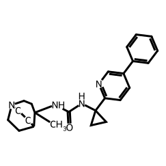 CC1(NC(=O)NC2(c3ccc(-c4ccccc4)cn3)CC2)CCN2CCC1CC2